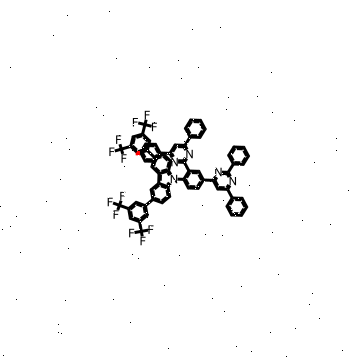 FC(F)(F)c1cc(-c2ccc3c(c2)c2cc(-c4cc(C(F)(F)F)cc(C(F)(F)F)c4)ccc2n3-c2ccc(-c3cc(-c4ccccc4)nc(-c4ccccc4)n3)cc2-c2nc(-c3ccccc3)cc(-c3ccccc3)n2)cc(C(F)(F)F)c1